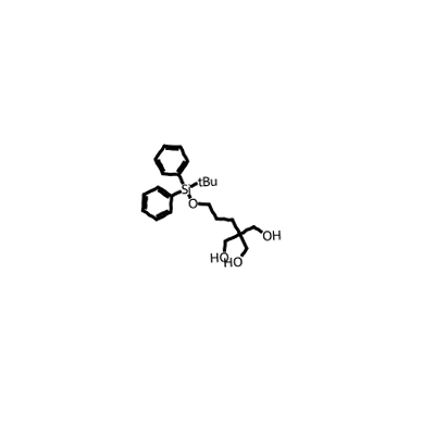 CC(C)(C)[Si](OCCCC(CO)(CO)CO)(c1ccccc1)c1ccccc1